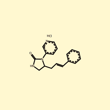 Cl.O=C1NCC(C/C=C/c2ccccc2)N1c1cccnc1